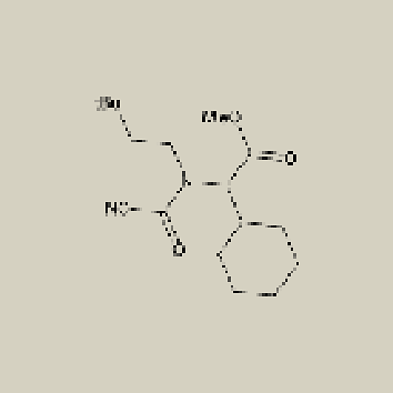 COC(=O)C(C1CCCCC1)N(CCC(C)(C)C)C(=O)C#N